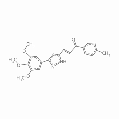 COc1cc(-c2cc(C=CC(=O)c3ccc(C)cc3)[nH]n2)cc(OC)c1OC